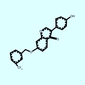 O=c1c(-c2ccc(O)cc2)coc2cc(OCc3cccc(C(F)(F)F)c3)ccc12